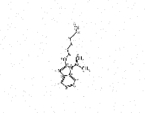 C=C(C)n1c(OCCCCCO)nc2ccccc21